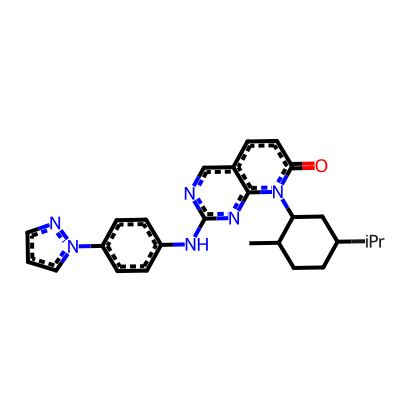 CC(C)C1CCC(C)C(n2c(=O)ccc3cnc(Nc4ccc(-n5cccn5)cc4)nc32)C1